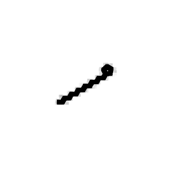 CCCCCCCCCCCCCCC1CCCC1